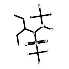 CCC(CC)N([S+]([O-])C(F)(F)F)S(=O)(=O)C(F)(F)F